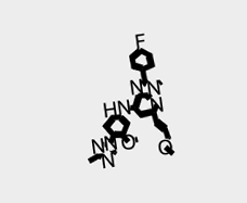 COCC#Cc1cc(Nc2ccc(-n3cnc(C)n3)c(OC)c2)c2nc(-c3ccc(F)cc3)n(C)c2n1